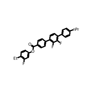 CCCc1ccc(-c2ccc(-c3ccc(C(=O)Oc4ccc(CC)c(F)c4)cc3)c(F)c2F)cc1